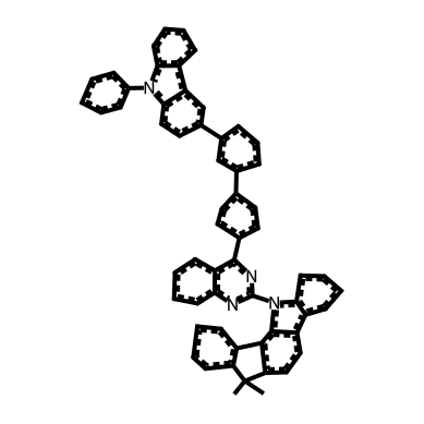 CC1(C)c2ccccc2-c2c1ccc1c3ccccc3n(-c3nc(-c4ccc(-c5cccc(-c6ccc7c(c6)c6ccccc6n7-c6ccccc6)c5)cc4)c4ccccc4n3)c21